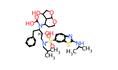 CC(C)CN(C[C@@H](O)C(Cc1ccccc1)N(C(=O)O)C1CCOC2OCC(O)C21)S(=O)(=O)c1ccc2nc(NC(C)C)sc2c1